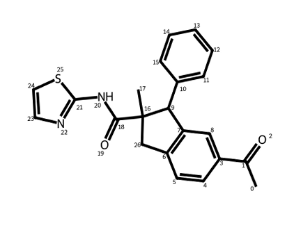 CC(=O)c1ccc2c(c1)C(c1ccccc1)C(C)(C(=O)Nc1nccs1)C2